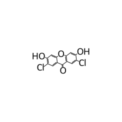 O=c1c2cc(Cl)c(O)cc2oc2cc(O)c(Cl)cc12